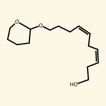 OCC/C=C\C/C=C\CCCOC1CCCCO1